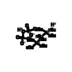 CCCC[N+](CCCC)(CCCC)CCCC.CCCC[N+](CCCC)(CCCC)CCCC.O=P([O-])([O-])OP(=O)([O-])[O-].[H+].[H+]